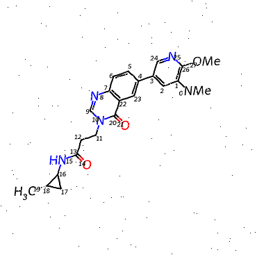 CNc1cc(-c2ccc3ncn(CCC(=O)NC4C[C@@H]4C)c(=O)c3c2)cnc1OC